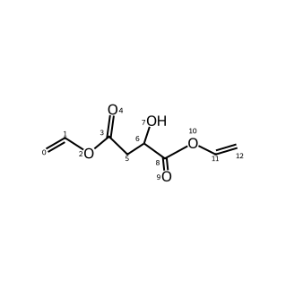 C=COC(=O)CC(O)C(=O)OC=C